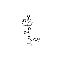 C=C(C)C(O)OCC(=O)OC12CC3CC(C1)OC(=O)C(C3)C2